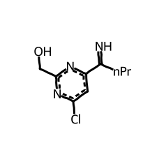 CCCC(=N)c1cc(Cl)nc(CO)n1